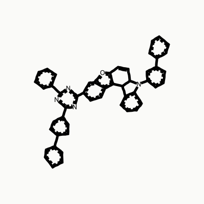 C1=CC2C(c3ccccc3N2c2cccc(-c3ccccc3)c2)c2c1oc1cc(-c3nc(-c4ccccc4)nc(-c4ccc(-c5ccccc5)cc4)n3)ccc21